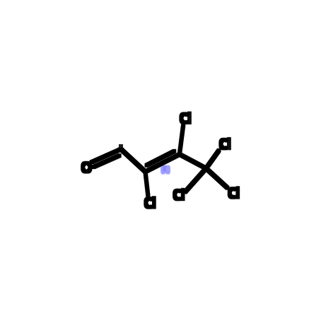 O=[C]/C(Cl)=C(\Cl)C(Cl)(Cl)Cl